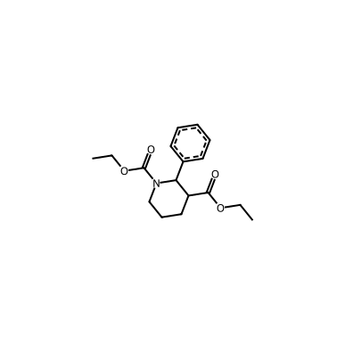 CCOC(=O)C1CCCN(C(=O)OCC)C1c1ccccc1